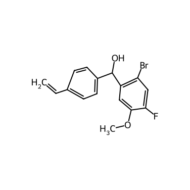 C=Cc1ccc(C(O)c2cc(OC)c(F)cc2Br)cc1